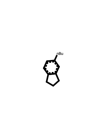 CCCCc1ccc2c(c1)CCC2